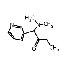 CCC(=O)C(c1cccnc1)N(C)C